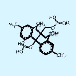 Cc1ccc(C(OP(O)O)(c2ccc(C)cc2C(C)(C)C)C(CO)(CO)COP(O)O)c(C(C)(C)C)c1